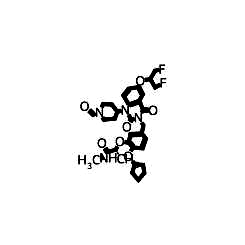 CNC(=O)[C@@H](C)Oc1cc(Cn2c(=O)c3cc(OC(CF)CF)ccc3n(C3CCN(C=O)CC3)c2=O)ccc1OC1CCCC1